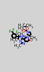 C=CC(C)(Nc1nc(C)nc2cc(=O)n(C3(C)CCN(C(=O)OC(C)(C)C)C3)cc12)c1cccc(C(F)F)c1F